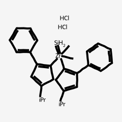 CC(C)C1=CC(c2ccccc2)=[C]([Zr]([CH3])([CH3])(=[SiH2])[C]2=C(c3ccccc3)C=C(C(C)C)C2)C1.Cl.Cl